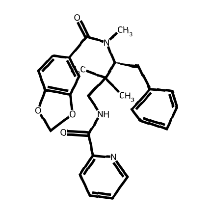 CN(C(=O)c1ccc2c(c1)OCO2)[C@@H](Cc1ccccc1)C(C)(C)CNC(=O)c1ccccn1